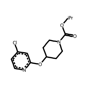 CC(C)OC(=O)N1CCC(Oc2cc(Cl)ccn2)CC1